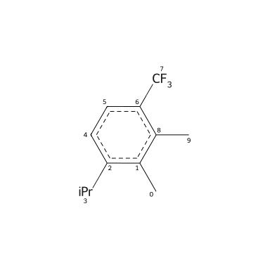 Cc1c(C(C)C)ccc(C(F)(F)F)c1C